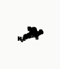 Cc1nc(OC2CCC2C)ccc1-c1nc2c(c(=O)n(CCCOC3CCCCO3)c(=O)n2C(C)C)n1Cc1ccc(F)cc1